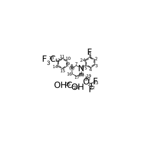 Fc1cccc(N2C[C@@H](c3ccc(C(F)(F)F)cc3)CC[C@H]2COC(F)F)c1.O=CO